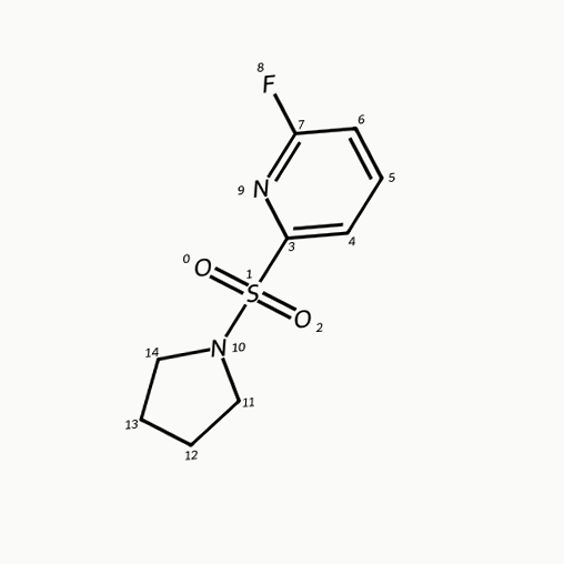 O=S(=O)(c1cccc(F)n1)N1CCCC1